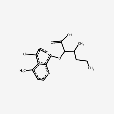 CCCC(C)C(Oc1ccc(Cl)c2c(C)ccnc12)C(=O)O